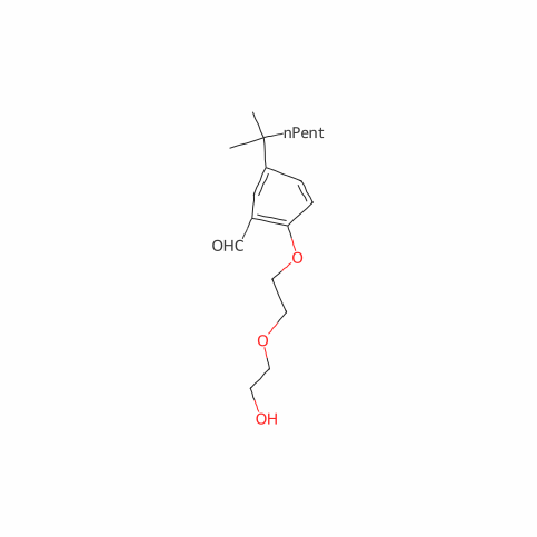 CCCCCC(C)(C)c1ccc(OCCOCCO)c(C=O)c1